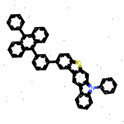 c1ccc(-c2c3ccccc3c(-c3cccc(-c4ccc5sc6cc7c(cc6c5c4)c4ccccc4n7-c4ccccc4)c3)c3ccccc23)cc1